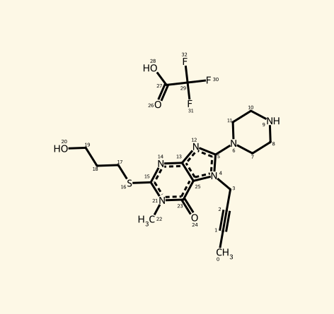 CC#CCn1c(N2CCNCC2)nc2nc(SCCCO)n(C)c(=O)c21.O=C(O)C(F)(F)F